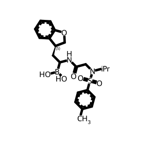 Cc1ccc(S(=O)(=O)N(CC(=O)NC(C[C@@H]2COc3ccccc32)B(O)O)C(C)C)cc1